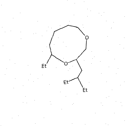 CCC(CC)CC1COCCCCC(CC)O1